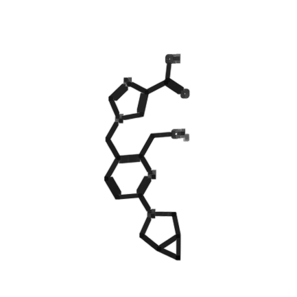 CCc1nc(N2CC3CC3C2)ccc1Cn1cnc(C(=O)O)c1